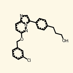 OCCCc1ccc(-c2cnc3ccc(OCc4cccc(Cl)c4)nn23)cc1